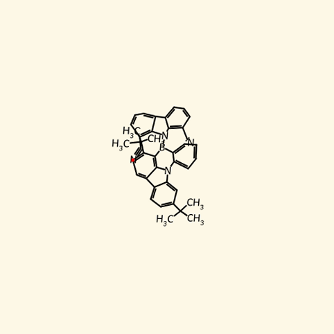 CC(C)(C)c1ccc2c3ccc(C(C)(C)C)c4c3n(c2c1)-c1ccccc1B4n1c2c(C#N)cccc2c2cccc(C#N)c21